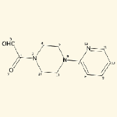 O=CC(=O)N1CCN(c2ccccn2)CC1